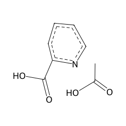 CC(=O)O.O=C(O)c1ccccn1